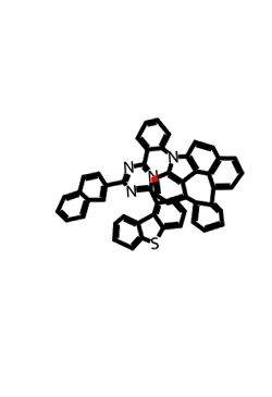 c1ccc2c(c1)-c1cccc3ccc4c(c13)c1c-2cccc1n4-c1ccccc1-c1nc(-c2ccc3ccccc3c2)nc(-c2cccc3sc4ccccc4c23)n1